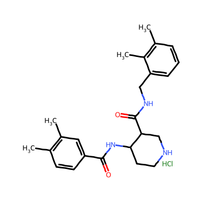 Cc1ccc(C(=O)NC2CCNCC2C(=O)NCc2cccc(C)c2C)cc1C.Cl